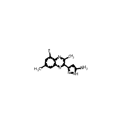 Cc1cc(F)c2nc(C)c(-c3cc(N)[nH]n3)nc2c1